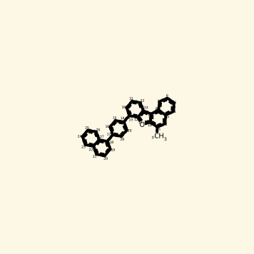 Cc1cc2ccccc2c2c1oc1c(-c3ccc(-c4cccc5ccccc45)cc3)cccc12